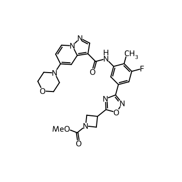 COC(=O)N1CC(c2nc(-c3cc(F)c(C)c(NC(=O)c4cnn5ccc(N6CCOCC6)cc45)c3)no2)C1